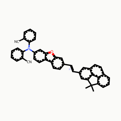 CC1(C)c2cccc3ccc4cc(/C=C/c5ccc6c(c5)oc5cc(N(c7ccccc7C#N)c7ccccc7C#N)ccc56)cc1c4c23